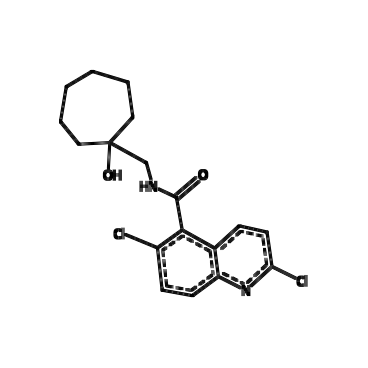 O=C(NCC1(O)CCCCCC1)c1c(Cl)ccc2nc(Cl)ccc12